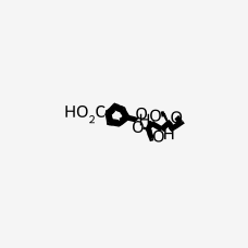 O=C(O)c1ccc(C(=O)O[C@@H]2CO[C@H]3[C@@H]2OC[C@@]32CCO2)cc1